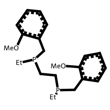 CCP(CCP(CC)Cc1ccccc1OC)Cc1ccccc1OC